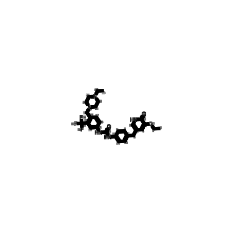 CCOc1cc(Cc2ccc(NC(=O)Nc3ccc(CN4CCN(CC)CC4)c(C(F)(F)F)c3)cc2)c[nH]c1=O